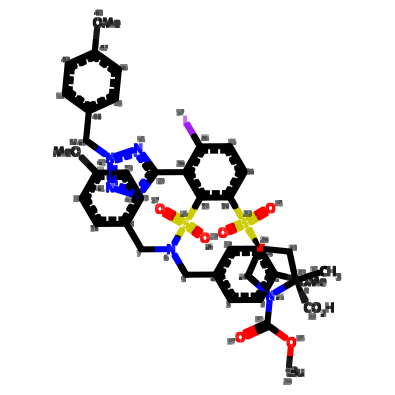 COc1ccc(CN(Cc2ccc(OC)cc2)S(=O)(=O)c2c(S(=O)(=O)[C@@H]3CN(C(=O)OC(C)(C)C)[C@](C)(C(=O)O)C3)ccc(I)c2-c2nnn(Cc3ccc(OC)cc3)n2)cc1